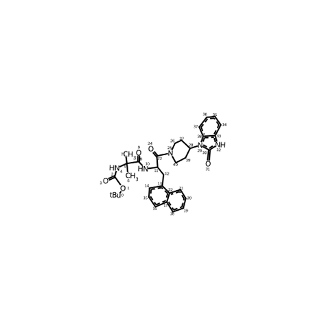 CC(C)(C)OC(=O)NC(C)(C)C(=O)NC(Cc1cccc2ccccc12)C(=O)N1CCC(n2c(=O)[nH]c3ccccc32)CC1